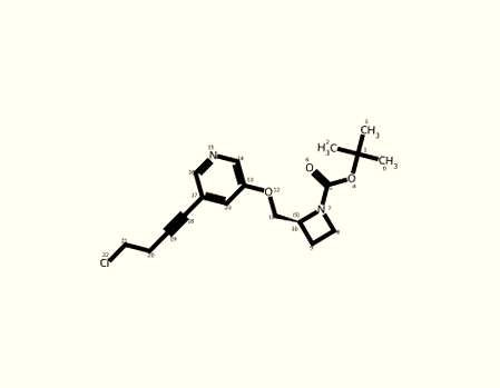 CC(C)(C)OC(=O)N1CC[C@H]1COc1cncc(C#CCCCl)c1